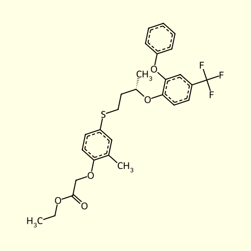 CCOC(=O)COc1ccc(SCC[C@H](C)Oc2ccc(C(F)(F)F)cc2Oc2ccccc2)cc1C